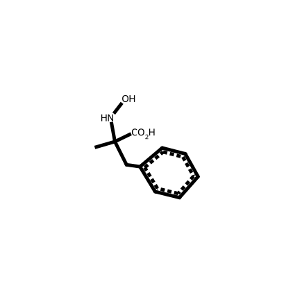 CC(Cc1ccccc1)(NO)C(=O)O